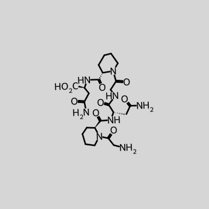 NCC(=O)N1CCCC[C@H]1C(=O)N[C@@H](CC(N)=O)C(=O)NCC(=O)N1CCCC[C@H]1C(=O)N[C@@H](CC(N)=O)C(=O)O